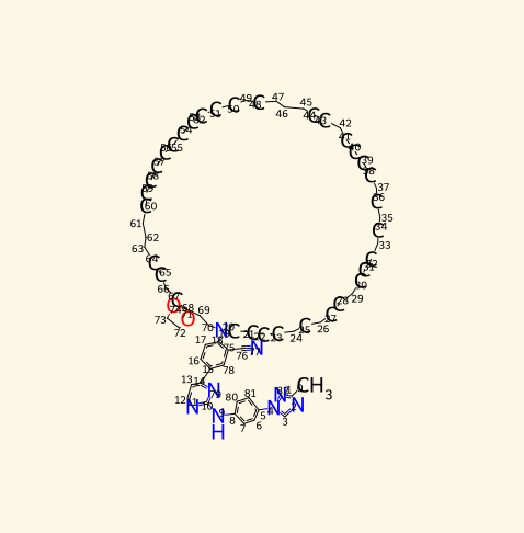 Cc1ncn(-c2ccc(Nc3nccc(-c4ccc(N5CCCCCCCCCCCCCCCCCCCCCCCCCCCCCCCCCCCCCCCCCCCCCCCCC6(CC5)OCCO6)c(C#N)c4)n3)cc2)n1